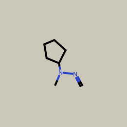 C=NN(C)C1CCCC1